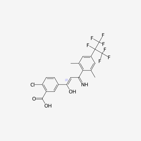 Cc1cc(C(F)(C(F)(F)F)C(F)(F)F)cc(C)c1C(=N)/C=C(\O)c1ccc(Cl)c(C(=O)O)c1